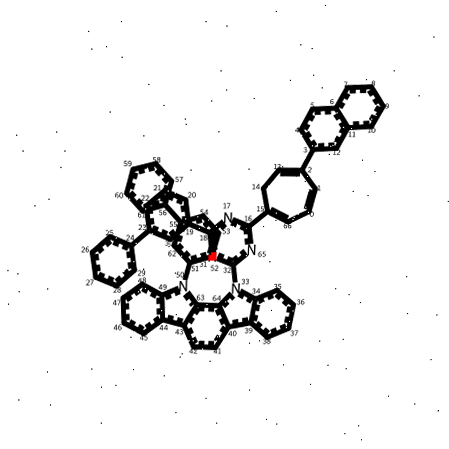 C1=CC(c2ccc3ccccc3c2)=CCC(c2nc(-c3cccc(-c4ccccc4)c3)nc(-n3c4ccccc4c4ccc5c6ccccc6n(-c6cccc(-c7ccccc7)c6)c5c43)n2)=C1